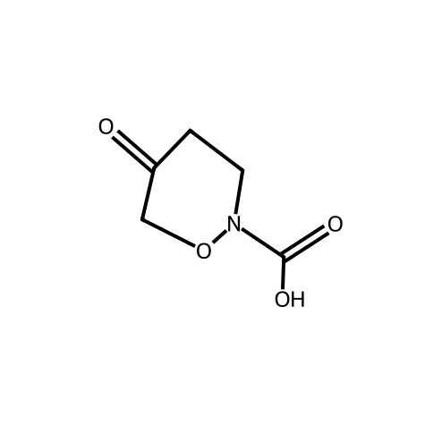 O=C1CCN(C(=O)O)OC1